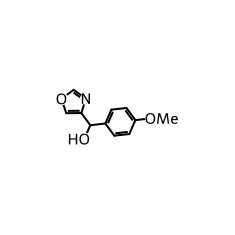 COc1ccc(C(O)c2cocn2)cc1